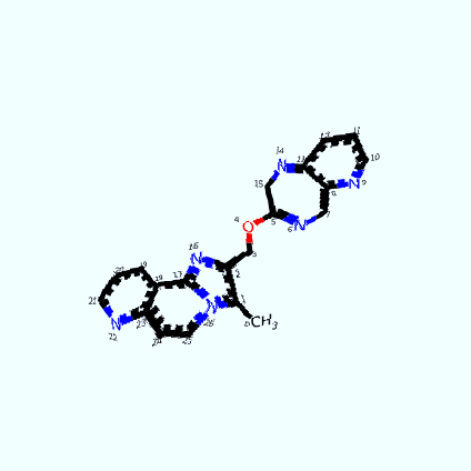 Cc1c(COC2=NC=c3ncccc3=NC2)nc2c3cccnc3ccn12